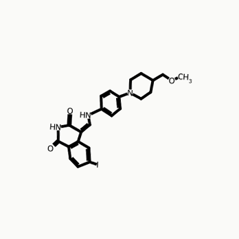 COCC1CCN(c2ccc(N/C=C3\C(=O)NC(=O)c4ccc(I)cc43)cc2)CC1